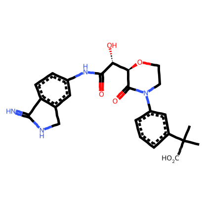 CC(C)(C(=O)O)c1cccc(N2CCO[C@H]([C@@H](O)C(=O)Nc3ccc4c(c3)CNC4=N)C2=O)c1